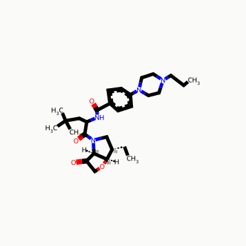 CCCN1CCN(c2ccc(C(=O)NC(CC(C)(C)C)C(=O)N3C[C@H](CC)[C@H]4OCC(=O)[C@H]43)cc2)CC1